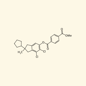 COC(=O)c1ccc(C(=O)Oc2cc3c(c(Cl)c2Cl)CC(C)(C2CCCC2)C3)cc1